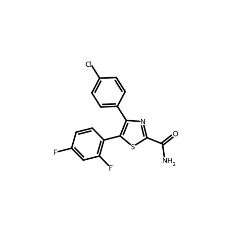 NC(=O)c1nc(-c2ccc(Cl)cc2)c(-c2ccc(F)cc2F)s1